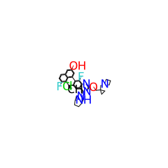 C#Cc1c(F)ccc2cc(O)cc(-c3c(Cl)cc4c(N5CC6CCC(C5)N6)nc(OCC5(CN6CCC6)CC5)nc4c3F)c12